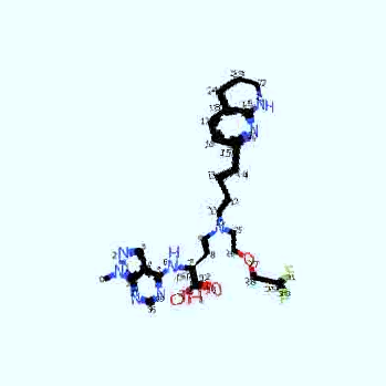 Cn1ncc2c(N[C@@H](CCN(CCCCc3ccc4c(n3)NCCC4)CCOCC(F)F)C(=O)O)ncnc21